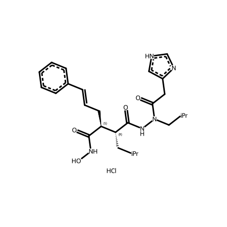 CC(C)C[C@@H](C(=O)NN(CC(C)C)C(=O)Cc1c[nH]cn1)[C@H](CC=Cc1ccccc1)C(=O)NO.Cl